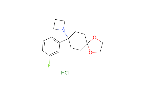 Cl.Fc1cccc(C2(N3CCC3)CCC3(CC2)OCCO3)c1